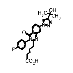 CC(C)(O)c1cn(-c2ccc3c(=O)n(-c4ccc(F)cc4)c(CCCCC(=O)O)nc3c2)nn1